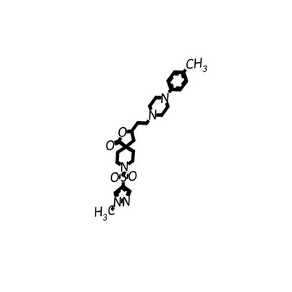 Cc1ccc(N2CCN(CCC3CC4(CCN(S(=O)(=O)c5cnn(C)c5)CC4)C(=O)O3)CC2)cc1